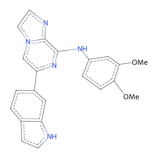 COc1ccc(Nc2nc(-c3ccc4cc[nH]c4c3)cn3ccnc23)cc1OC